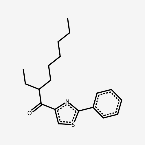 CCCCCCC(CC)C(=O)c1csc(-c2ccccc2)n1